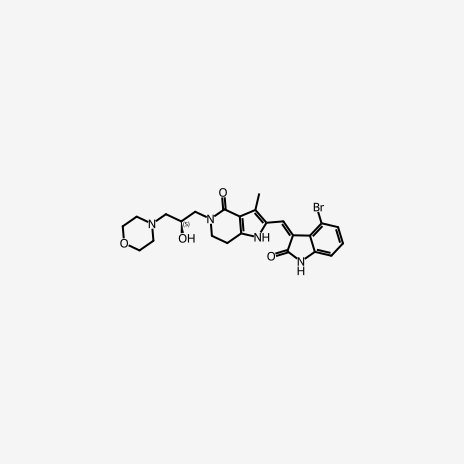 Cc1c(C=C2C(=O)Nc3cccc(Br)c32)[nH]c2c1C(=O)N(C[C@@H](O)CN1CCOCC1)CC2